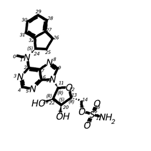 CN(c1ncnc2c1ncn2[C@@H]1O[C@H](COS(N)(=O)=O)[C@@H](O)[C@H]1O)[C@H]1CCc2ccccc21